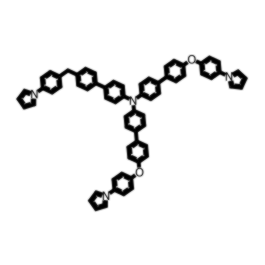 c1ccn(-c2ccc(Cc3ccc(-c4ccc(N(c5ccc(-c6ccc(Oc7ccc(-n8cccc8)cc7)cc6)cc5)c5ccc(-c6ccc(Oc7ccc(-n8cccc8)cc7)cc6)cc5)cc4)cc3)cc2)c1